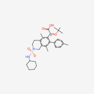 Cc1ccc(-c2c(C)c3c(c(C)c2[C@H](OC(C)(C)C)C(=O)O)CCN(S(=O)(=O)NC2CCCCC2)C3)cc1